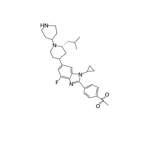 CC(C)C[C@@H]1CC(c2cc(F)c3nc(-c4ccc(S(C)(=O)=O)cc4)n(C4CC4)c3c2)CCN1C1CCNCC1